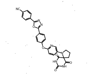 N#Cc1ccc(-c2nnc(-c3ccc(Oc4ccc(N5CCCC56C(=O)NC(=O)NC6=O)cn4)cc3)o2)cc1